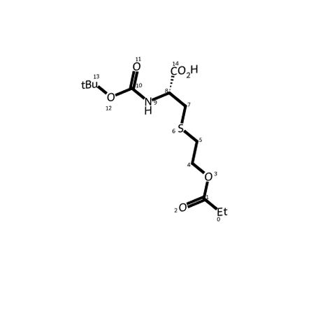 CCC(=O)OCCSC[C@H](NC(=O)OC(C)(C)C)C(=O)O